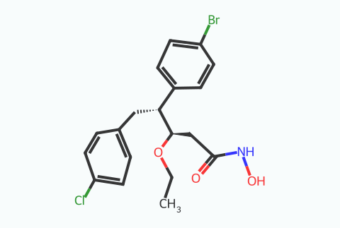 CCO[C@H](CC(=O)NO)[C@H](Cc1ccc(Cl)cc1)c1ccc(Br)cc1